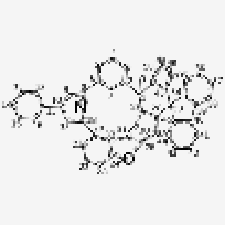 CC12c3cccc(c3)-c3cc(-c4ccccc4)cc(n3)-c3cccc4oc5cc(c1cc5c34)C1(c3ccccc3-c3ccccc31)c1ccccc12